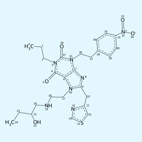 CCCn1c(=O)c2c(nc(Cc3cscn3)n2CCNCC(O)CC)n(CCc2ccc([N+](=O)[O-])cc2)c1=O